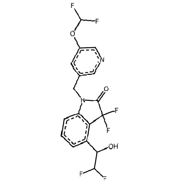 O=C1N(Cc2cncc(OC(F)F)c2)c2cccc(C(O)C(F)F)c2C1(F)F